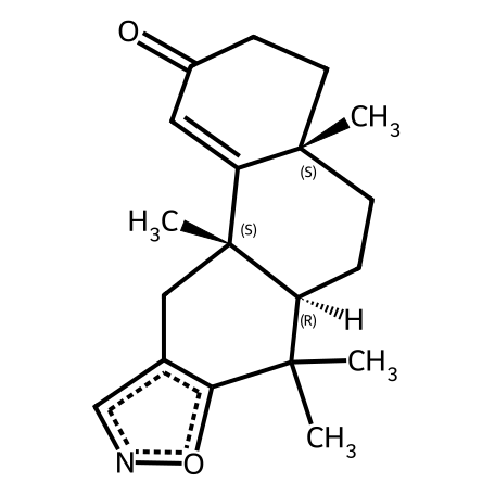 CC1(C)c2oncc2C[C@]2(C)C3=CC(=O)CC[C@]3(C)CC[C@@H]12